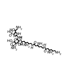 NCCC[C@H](N)CC(=O)NCCC[C@H](N)CC(=O)NCCC[C@H](N)CC(=O)N[C@@H]1[C@H](O)[C@@H](OC(N)=O)[C@@H](CO)O[C@H]1NC1=N[C@H](C(=O)O)[C@@H]([C@H](O)CN)N1